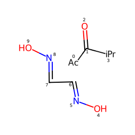 CC(=O)C(=O)C(C)C.ON=CC=NO